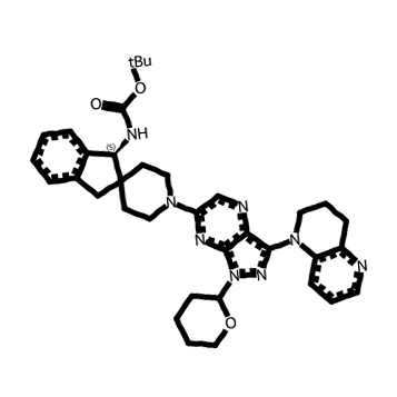 CC(C)(C)OC(=O)N[C@@H]1c2ccccc2CC12CCN(c1cnc3c(N4CCCc5ncccc54)nn(C4CCCCO4)c3n1)CC2